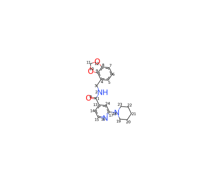 O=C(NCc1cccc2c1OCO2)c1ccnc(N2CCCCC2)c1